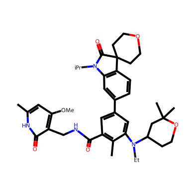 CCN(c1cc(-c2ccc3c(c2)N(C(C)C)C(=O)C32CCOCC2)cc(C(=O)NCc2c(OC)cc(C)[nH]c2=O)c1C)C1CCOC(C)(C)C1